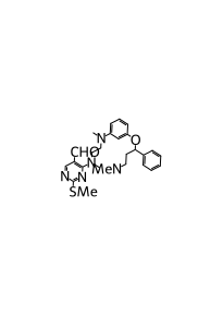 CNCCC(Oc1cccc(N(C)CCN(C)c2nc(SC)ncc2C=O)c1)c1ccccc1